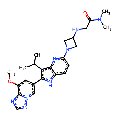 COc1cc(-c2[nH]c3ccc(N4CC(NCC(=O)N(C)C)C4)nc3c2C(C)C)cn2ncnc12